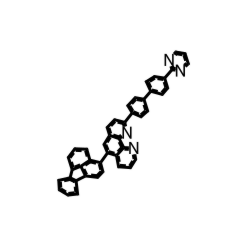 c1cnc(-c2ccc(-c3ccc(-c4ccc5cc(-c6ccc7c8c(cccc68)-c6ccccc6-7)c6cccnc6c5n4)cc3)cc2)nc1